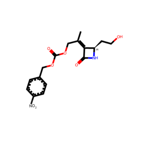 CC(COC(=O)OCc1ccc([N+](=O)[O-])cc1)=C1C(=O)N[C@@H]1CCO